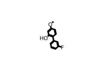 COc1ccc(-c2cccc(F)c2)c(O)c1